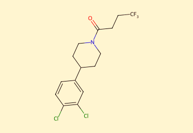 O=C(CCC(F)(F)F)N1CCC(c2ccc(Cl)c(Cl)c2)CC1